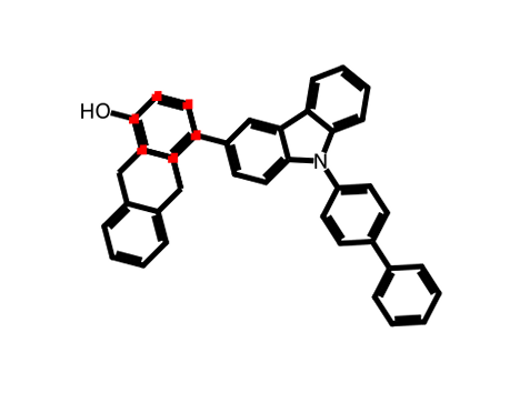 Oc1ccc(-c2ccc3c(c2)c2ccccc2n3-c2ccc(-c3ccccc3)cc2)c2c1C1c3ccccc3C2c2ccccc21